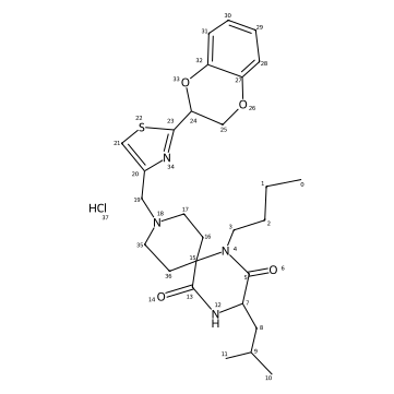 CCCCN1C(=O)C(CC(C)C)NC(=O)C12CCN(Cc1csc(C3COc4ccccc4O3)n1)CC2.Cl